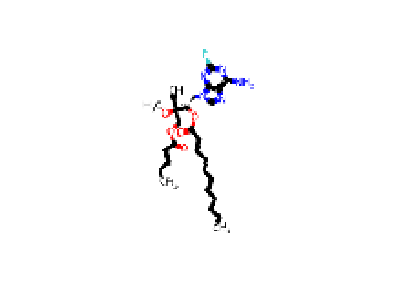 C#CC(COC(=O)CCCC)(OC)[C@H](Cn1cnc2c(N)nc(F)nc21)OC(=O)CCCCCCCCCC